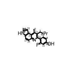 Cc1c(CC(C)C)c(-c2ccc(O)cc2F)nc2ccc3[nH]ncc3c12